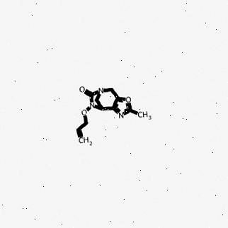 C=CCON1C(=O)N2Cc3oc(C)nc3C1C2